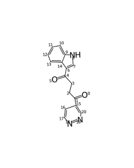 O=C(CCC(=O)c1c[nH]c2ccccc12)c1ccnnc1